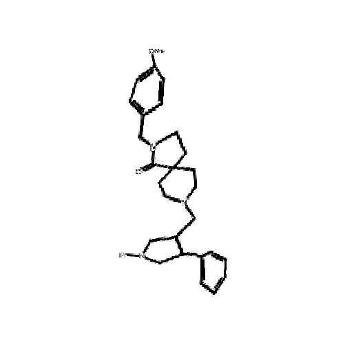 COc1ccc(CN2CCC3(CCN(CC4CN(C(C)C)CC4c4ccccc4)CC3)C2=O)cc1